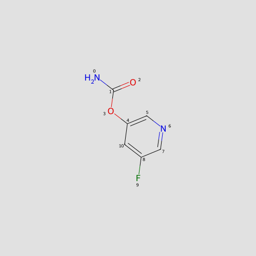 NC(=O)Oc1cncc(F)c1